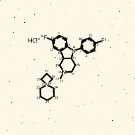 Cl.Fc1ccc(N2c3ccc(F)cc3C3CN(C[C@H]4CC[N+]45CCCCC5)CCC32)cc1